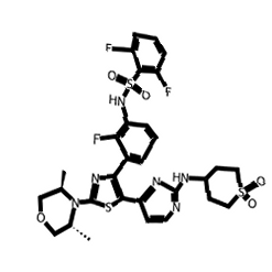 C[C@@H]1COC[C@@H](C)N1c1nc(-c2cccc(NS(=O)(=O)c3c(F)cccc3F)c2F)c(-c2ccnc(NC3CCS(=O)(=O)CC3)n2)s1